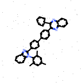 Cc1cc(C)c(-n2c(-c3ccc(-c4ccc(-c5nc6ccccc6nc5-c5ccccc5)cc4)cc3)nc3ccccc32)c(C)c1